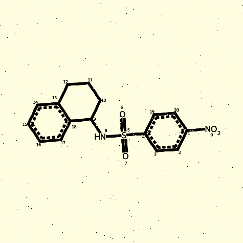 O=[N+]([O-])c1ccc(S(=O)(=O)NC2CCCc3ccccc32)cc1